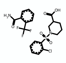 NC(=O)c1ccccc1C(F)(F)F.O=C(O)C1CCCN(S(=O)(=O)c2ccccc2Cl)C1